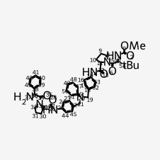 COC(=O)N[C@H](C(=O)N1CCCC1C(=O)Nc1ccc(CN(Cc2ccc(NC(=O)[C@@H]3CCCN3C(=O)[C@H](N)c3ccccc3)cc2)c2ccccc2)cc1)C(C)(C)C